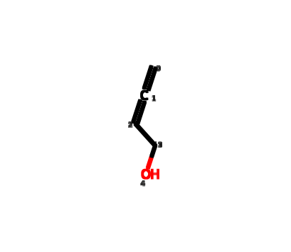 C=C=C[CH]O